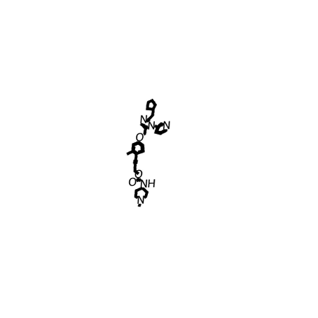 Cc1cc(OCc2cnc(CC3CCCC3)n2-c2cccnc2)ccc1C#CCOC(=O)NC1CCN(C)CC1